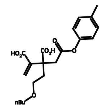 C=C(C(=O)O)C(CCOCCCC)(CC(=O)Oc1ccc(C)cc1)C(=O)O